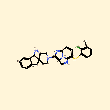 CCc1cccc(Sc2ccc3nc(N4CCC5(CC4)Cc4ccccc4C5N)c4cnc2n34)c1Cl